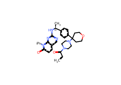 C=CC(=O)N1CCN(C2(c3ccc([C@H](C)Nc4ncc5ccc(=O)n(C(C)C)c5n4)cc3)CCOCC2)CC1